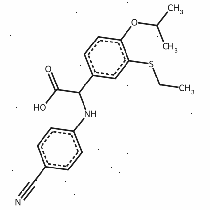 CCSc1cc(C(Nc2ccc(C#N)cc2)C(=O)O)ccc1OC(C)C